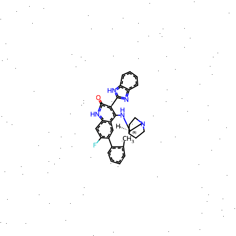 Cc1ccccc1-c1cc2c(N[C@H]3CN4CCC3CC4)c(-c3nc4ccccc4[nH]3)c(=O)[nH]c2cc1F